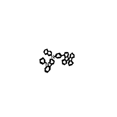 c1ccc(-n2c3ccccc3c3ccc(N(c4ccc(-c5cccc6c5-c5ccccc5C65c6ccccc6-c6ccccc65)cc4)c4ccc5ccccc5c4)cc32)cc1